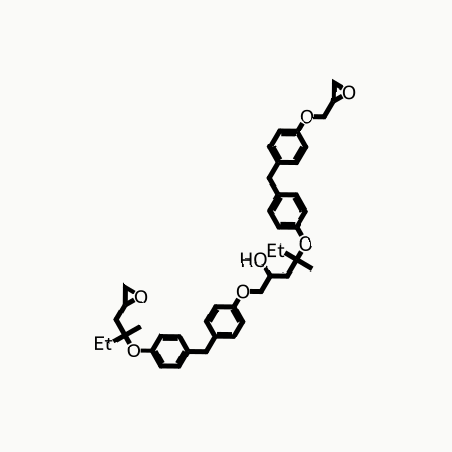 CCC(C)(CC(O)COc1ccc(Cc2ccc(OC(C)(CC)CC3CO3)cc2)cc1)Oc1ccc(Cc2ccc(OCC3CO3)cc2)cc1